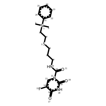 C[Si](C)(CCSCCCNC(=O)n1cc(F)c(=O)[nH]c1=O)c1ccccc1